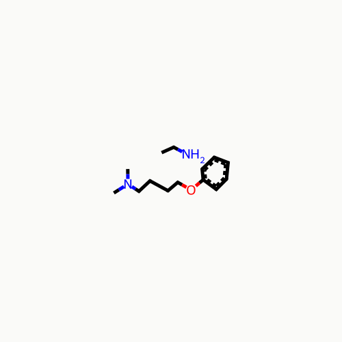 CCN.CN(C)CCCCOc1ccccc1